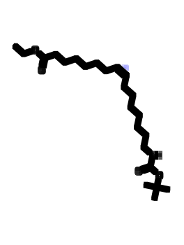 CCOC(=O)CCCCCC/C=C\CCCCCCCNC(=O)OC(C)(C)C